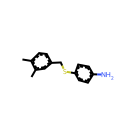 Cc1ccc(CSc2ccc(N)cc2)cc1C